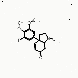 COc1cc(C23C=CC(=O)CC2N(C)CC3)cc(F)c1OC